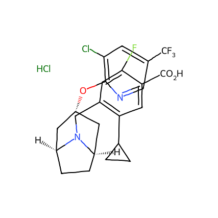 Cl.O=C(O)c1cc(C2CC2)c(CN2[C@@H]3CC[C@H]2C[C@H](Oc2ncc(C(F)(F)F)cc2Cl)C3)cc1F